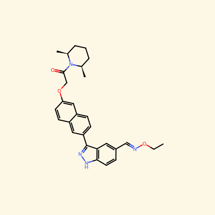 CCON=Cc1ccc2[nH]nc(-c3ccc4cc(OCC(=O)N5[C@H](C)CCC[C@@H]5C)ccc4c3)c2c1